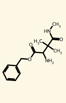 CNC(=O)C(C)(C)C(N)C(=O)OCc1ccccc1